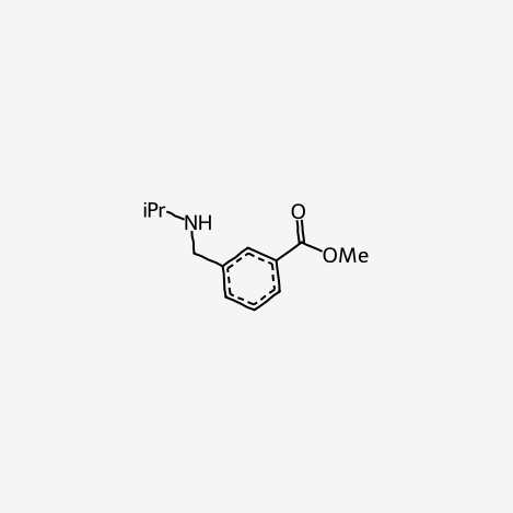 COC(=O)c1cccc(CNC(C)C)c1